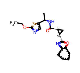 CC(NC(=O)[C@H]1C[C@@H]1c1nc2ccccc2o1)c1cnc(OCC(F)(F)F)s1